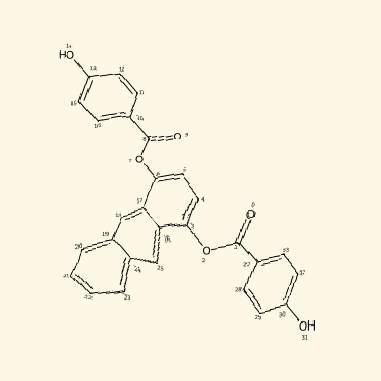 O=C(Oc1ccc(OC(=O)c2ccc(O)cc2)c2cc3ccccc3cc12)c1ccc(O)cc1